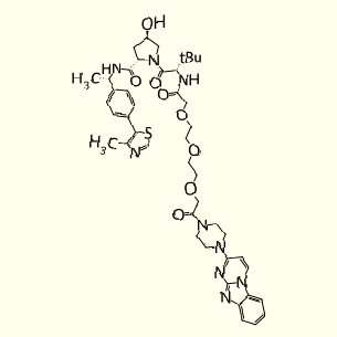 Cc1ncsc1-c1ccc([C@H](C)NC(=O)[C@@H]2C[C@@H](O)CN2C(=O)[C@@H](NC(=O)COCCOCCOCC(=O)N2CCN(c3ccn4c(n3)nc3ccccc34)CC2)C(C)(C)C)cc1